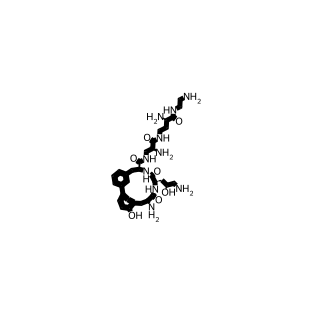 NCCNC(=O)[C@@H](N)CCNC(=O)[C@@H](N)CNC(=O)[C@@H]1Cc2cccc(c2)-c2ccc(O)c(c2)C[C@H](N)C(=O)N[C@@H](C[C@@H](O)CN)C(=O)N1